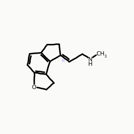 CNC/C=C1\CCc2ccc3c(c21)CCO3